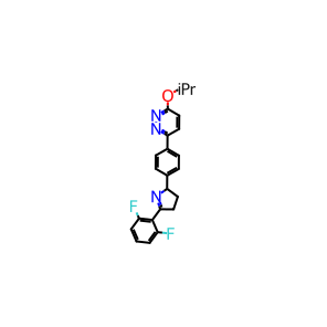 CC(C)Oc1ccc(-c2ccc(C3CCC(c4c(F)cccc4F)=N3)cc2)nn1